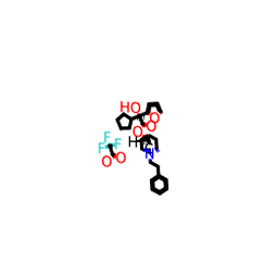 O=C(O[C@H]1C[N+]2(CCc3ccccc3)CCC1CC2)[C@@](O)(c1ccco1)C1CCCC1.O=C([O-])C(F)(F)F